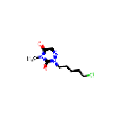 Cn1c(=O)cnn(CCCCCCl)c1=O